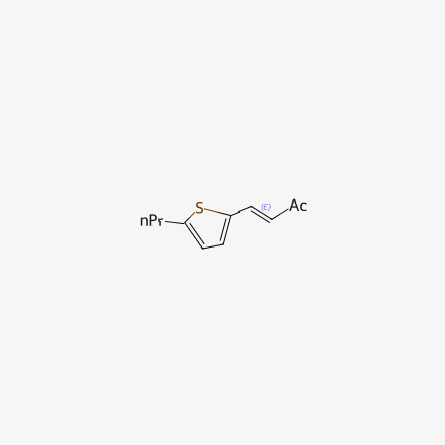 CCCc1ccc(/C=C/C(C)=O)s1